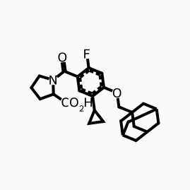 O=C(O)C1CCCN1C(=O)c1cc(C2CC2)c(OCC23CC4CC(CC(C4)C2)C3)cc1F